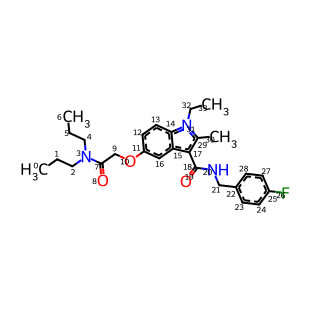 CCCN(CCC)C(=O)COc1ccc2c(c1)c(C(=O)NCc1ccc(F)cc1)c(C)n2CC